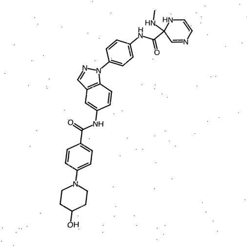 CNC1(C(=O)Nc2ccc(-n3ncc4cc(NC(=O)c5ccc(N6CCC(O)CC6)cc5)ccc43)cc2)C=NC=CN1